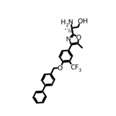 Cc1oc([C@@](C)(N)CO)nc1-c1ccc(OCc2ccc(-c3ccccc3)cc2)c(C(F)(F)F)c1